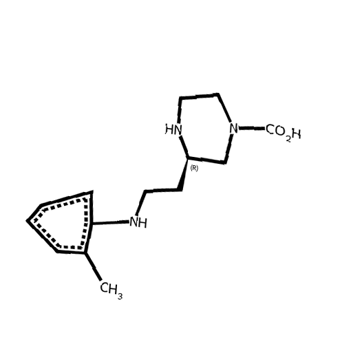 Cc1ccccc1NCC[C@@H]1CN(C(=O)O)CCN1